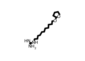 N=C(N)NCCCCCCCCCCCOC1CCCCO1